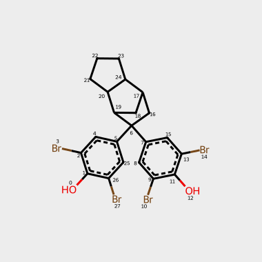 Oc1c(Br)cc(C2(c3cc(Br)c(O)c(Br)c3)CC3CC2C2CCCC32)cc1Br